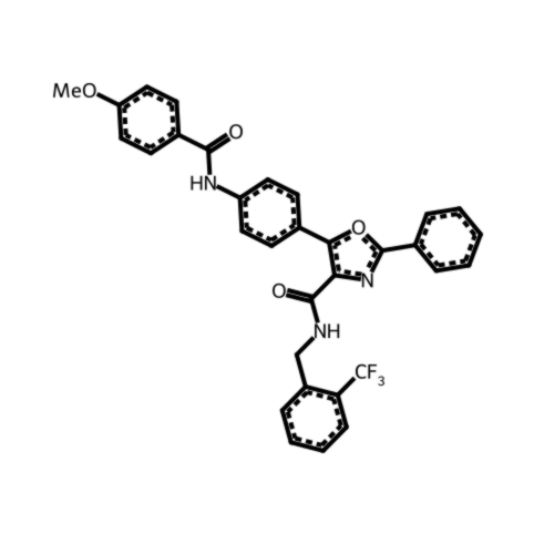 COc1ccc(C(=O)Nc2ccc(-c3oc(-c4ccccc4)nc3C(=O)NCc3ccccc3C(F)(F)F)cc2)cc1